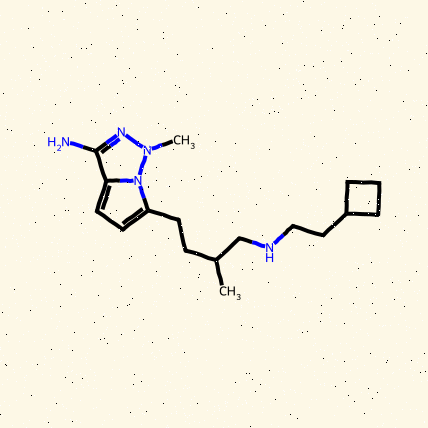 CC(CCc1ccc2c(N)nn(C)n12)CNCCC1CCC1